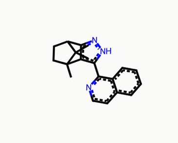 CC12CCC(c3n[nH]c(-c4nccc5ccccc45)c31)C2(C)C